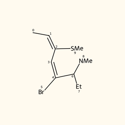 C/C=C(\C=C(\Br)C(CC)NC)SC